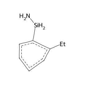 CCc1ccccc1[SiH2]N